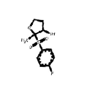 CC1(S(=O)(=O)c2ccc(F)cc2)OCCC1S